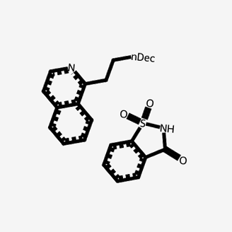 CCCCCCCCCCCCc1nccc2ccccc12.O=C1NS(=O)(=O)c2ccccc21